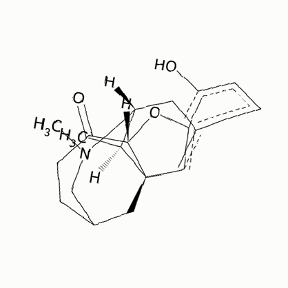 C[C@H]1[C@H]2Cc3ccc(O)c4c3[C@]13CC(CCC(=O)[C@@H]3O4)CN2C